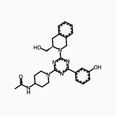 CC(=O)NC1CCN(c2nc(-c3cccc(O)c3)nc(N3Cc4ccccc4C[C@@H]3CO)n2)CC1